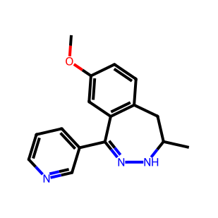 COc1ccc2c(c1)C(c1cccnc1)=NNC(C)C2